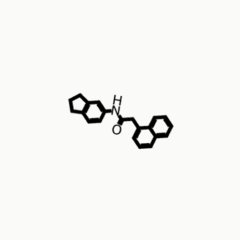 O=C(Cc1cccc2ccccc12)Nc1ccc2c(c1)CCC2